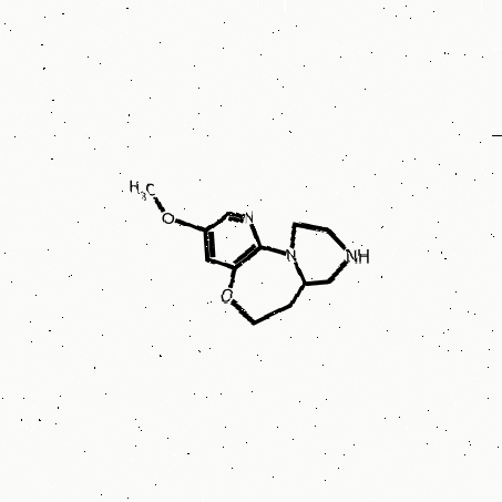 COc1cnc2c(c1)OCCC1CNCCN21